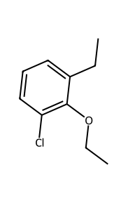 CCOc1c(Cl)cccc1CC